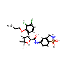 COCCOc1c([C@H]2[C@H](C(=O)Nc3ccc4c(c3)CNS4(=O)=O)O[C@@](C)(C(F)(F)F)[C@H]2C)ccc(F)c1F